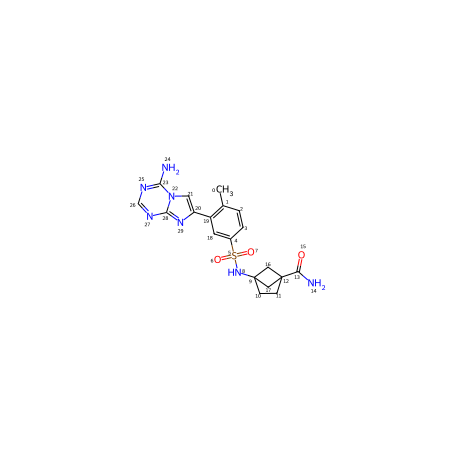 Cc1ccc(S(=O)(=O)NC23CCC(C(N)=O)(C2)C3)cc1-c1cn2c(N)ncnc2n1